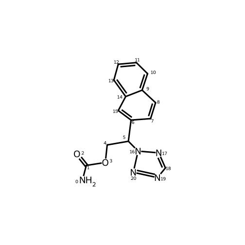 NC(=O)OCC(c1ccc2ccccc2c1)n1ncnn1